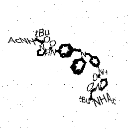 CC(=O)N[C@H](C(=O)N1CCC[C@H]1C(=O)Nc1ccc(CN(Cc2ccc(NC(=O)[C@@H]3CCCN3C(=O)[C@@H](NC(C)=O)C(C)(C)C)cc2)c2ccccc2)cc1)C(C)(C)C